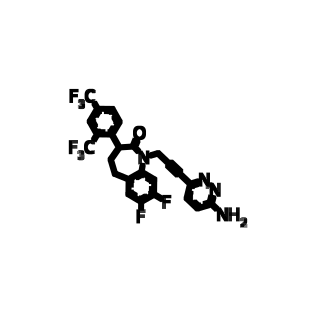 Nc1ccc(C#CCN2C(=O)C(c3ccc(C(F)(F)F)cc3C(F)(F)F)CCc3cc(F)c(F)cc32)nn1